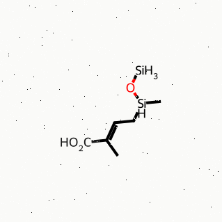 CC(=CC[SiH](C)O[SiH3])C(=O)O